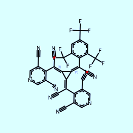 N#CC(=C1C(=C(/C#N)c2c(C#N)cncc2C#N)/C1=C(/C#N)c1c(C(F)(F)F)cc(C(F)(F)F)cc1C(F)(F)F)c1c(C#N)cncc1C#N